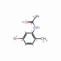 Cc1ccc(Br)cc1NC(=O)C(C)C